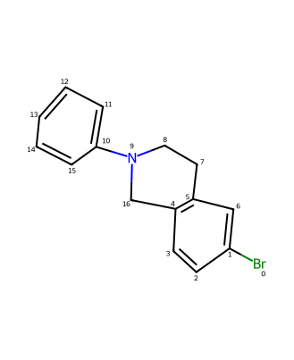 Brc1ccc2c(c1)CCN(c1ccccc1)C2